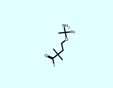 CC(=O)C(C)(N)OCCC(C)(C)C(=O)I